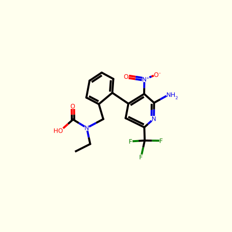 CCN(Cc1ccccc1-c1cc(C(F)(F)F)nc(N)c1[N+](=O)[O-])C(=O)O